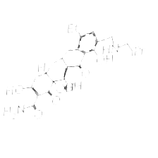 CCc1cc(CNCC(C)C)c(O)c2c1CC1C[C@H]3CC(O)=C(C(N)=O)C(=O)[C@@]3(O)C(O)=C1C2=O